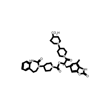 Cc1cc(C[C@@H](OC(=O)N2CCC(N3CCc4ccccc4NC3=O)CC2)C(=O)N2CCC(N3CCC(C(=O)O)CC3)CC2)cc2oc(=O)[nH]c12